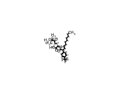 CCCCCCCCCC(C(=O)N[C@@H](CCC(=O)C(C)(C)C)C(=O)O)c1ccc(C(F)(F)F)cc1